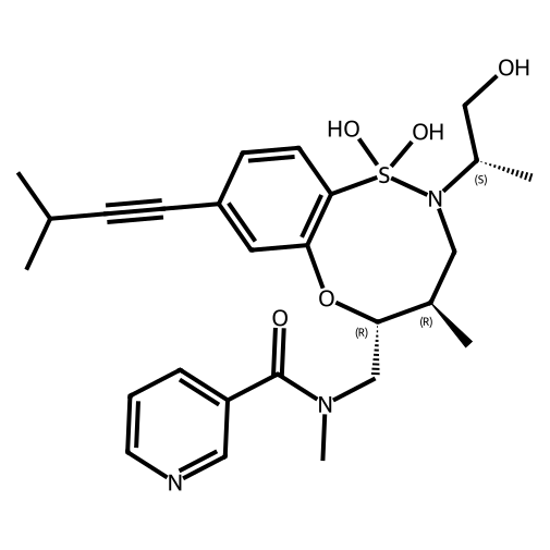 CC(C)C#Cc1ccc2c(c1)O[C@@H](CN(C)C(=O)c1cccnc1)[C@H](C)CN([C@@H](C)CO)S2(O)O